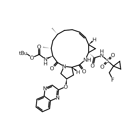 C[C@@H]1CC/C=C\[C@@H]2C[C@@]2(C(=O)NS(=O)(=O)C2(CF)CC2)NC(=O)[C@@H]2C[C@@H](Oc3cnc4ccccc4n3)CN2C(=O)[C@@H](NC(=O)OC(C)(C)C)[C@H](C)C1